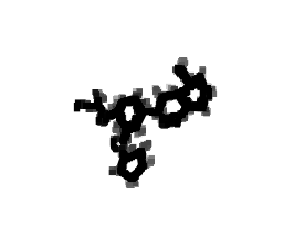 Cc1cncc(Cl)c1C[C@H](O)c1ccc(OC(F)F)c(OC2CCCC2)c1